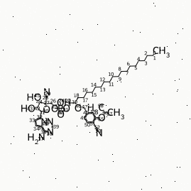 CCCCCCCCCCCCCCCCCCC[C@H](COP(=O)(O)OC[C@@]1(C#N)O[C@@H](c2ccc3c(N)ncnn23)[C@H](O)[C@@H]1O)OCc1ccc(C#N)c(OC(C)C)c1